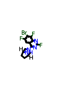 Fc1nc(N2C[C@H]3CC[C@@H](C2)N3)c2cc(F)c(Br)c(F)c2n1